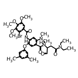 CCN(CC)C(=O)CC(C=O)N(C)C(=O)c1cc(Oc2cc(C)cc(C)c2)c(NC(=O)c2cc(OC)c(OC)c(OC)c2Br)cc1NC